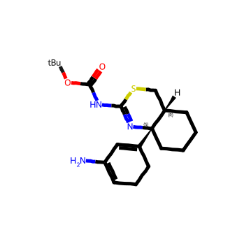 CC(C)(C)OC(=O)NC1=N[C@@]2(C3=CC(N)=CCC3)CCCC[C@H]2CS1